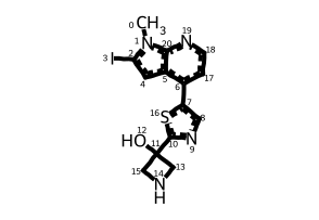 Cn1c(I)cc2c(-c3cnc(C4(O)CNC4)s3)ccnc21